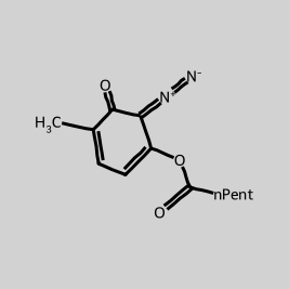 CCCCCC(=O)OC1=CC=C(C)C(=O)C1=[N+]=[N-]